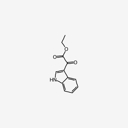 CCOC(=O)C(=O)c1c[nH]c2ccccc12